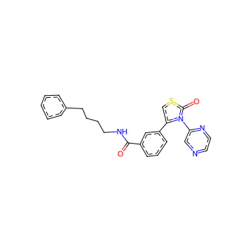 O=C(NCCCCc1ccccc1)c1cccc(-c2csc(=O)n2-c2cnccn2)c1